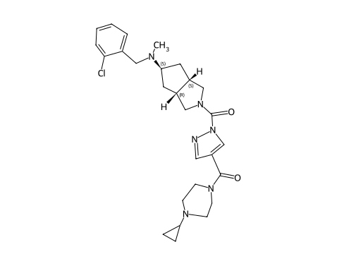 CN(Cc1ccccc1Cl)[C@H]1C[C@@H]2CN(C(=O)n3cc(C(=O)N4CCN(C5CC5)CC4)cn3)C[C@@H]2C1